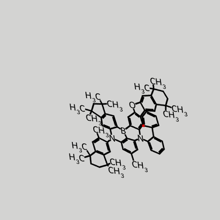 Cc1cc2c3c(c1)N(c1ccccc1-c1ccccc1)c1cc4c(cc1B3c1cc3c(cc1N2c1cc2c(cc1C)C(C)(C)CCC2(C)C)C(C)(C)CC3(C)C)oc1cc2c(cc14)C(C)(C)CCC2(C)C